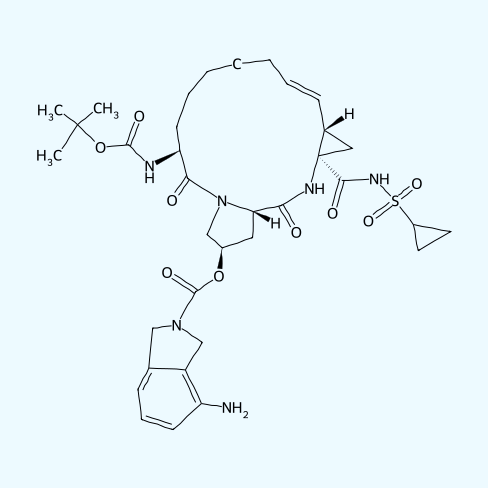 CC(C)(C)OC(=O)N[C@H]1CCCCC/C=C/[C@@H]2C[C@@]2(C(=O)NS(=O)(=O)C2CC2)NC(=O)[C@@H]2C[C@@H](OC(=O)N3Cc4cccc(N)c4C3)CN2C1=O